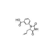 C=CCC1C(=O)NC(=O)N1c1cccc(C(=O)O)c1